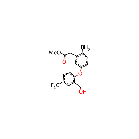 Bc1ccc(Oc2ccc(C(F)(F)F)cc2CO)cc1CC(=O)OC